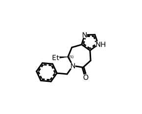 CC[C@H]1Cc2nc[nH]c2CC(=O)N1Cc1ccccc1